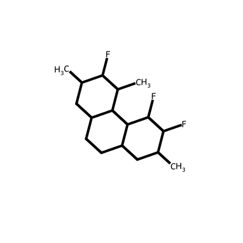 CC1CC2CCC3CC(C)C(F)C(F)C3C2C(C)C1F